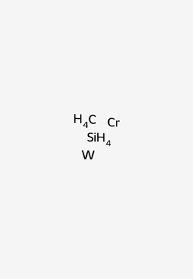 C.[Cr].[SiH4].[W]